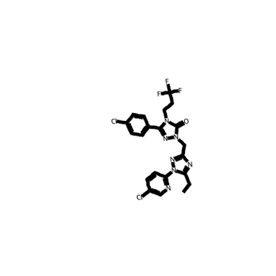 CCc1nc(Cn2nc(-c3ccc(Cl)cc3)n(CCC(F)(F)F)c2=O)nn1-c1ccc(Cl)cn1